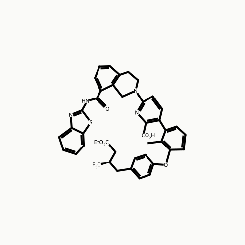 CCOC(=O)C[C@@H](Cc1ccc(Oc2cccc(-c3ccc(N4CCc5cccc(C(=O)Nc6nc7ccccc7s6)c5C4)nc3C(=O)O)c2C)cc1)C(F)(F)F